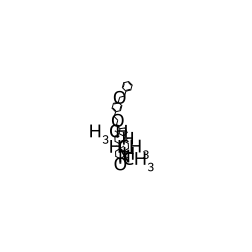 CN1C(=O)CC[C@]2(C)[C@H]3CC[C@]4(C)C(COCc5ccc(OCc6ccccc6)cc5)CC[C@H]4[C@@H]3CC[C@@H]12